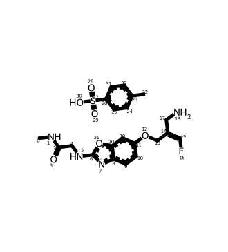 CNC(=O)CNc1nc2ccc(OC/C(=C\F)CN)cc2o1.Cc1ccc(S(=O)(=O)O)cc1